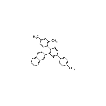 Cc1ccc(-c2cnc(-c3ccc(C)cc3C)c(-c3ccc4ccccc4c3)n2)cc1